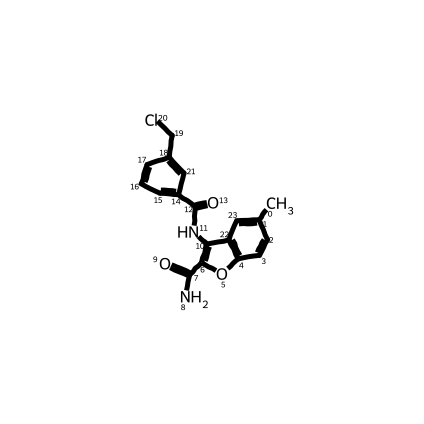 Cc1ccc2oc(C(N)=O)c(NC(=O)c3cccc(CCl)c3)c2c1